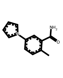 Cc1ccc(-n2cccc2)cc1C(N)=O